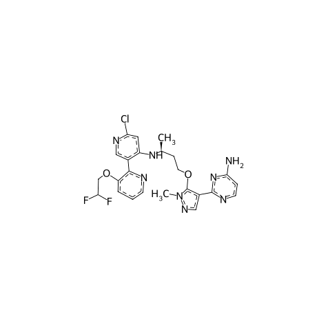 C[C@@H](CCOc1c(-c2nccc(N)n2)cnn1C)Nc1cc(Cl)ncc1-c1ncccc1OCC(F)F